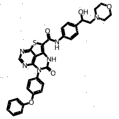 O=C(Nc1ccc(C(O)CN2CCOCC2)cc1)c1sc2ncnc3c2c1NC(=O)N3c1ccc(Oc2ccccc2)cc1